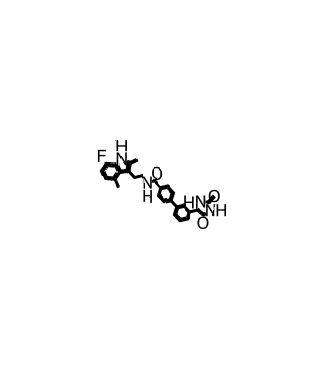 Cc1[nH]c2c(F)ccc(C)c2c1CCNC(=O)c1ccc(-c2cccc(C3NC(=O)NC3=O)c2)cc1